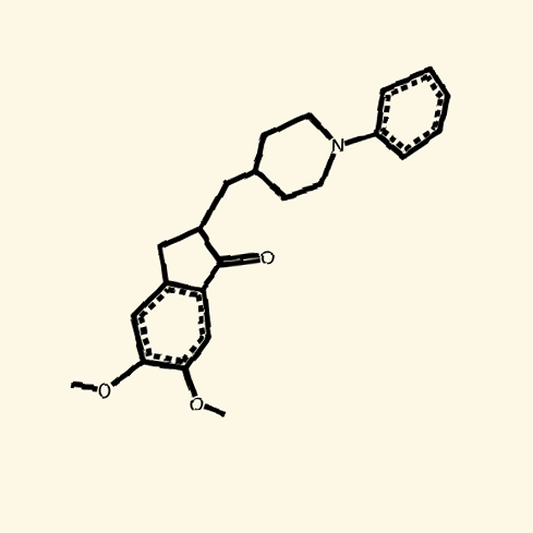 COc1cc2c(cc1OC)C(=O)C(CC1CCN(c3ccccc3)CC1)C2